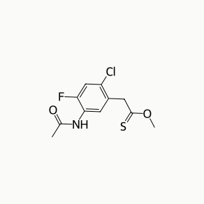 COC(=S)Cc1cc(NC(C)=O)c(F)cc1Cl